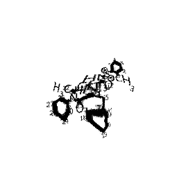 Cc1ccccc1S(=O)(=O)NC(=O)N[C@@H](Cc1ccccc1)C(=O)N(c1ccccc1)C(C)C